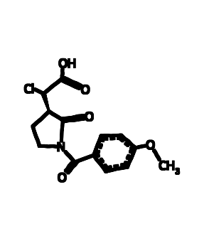 COc1ccc(C(=O)N2CC[C@@H](C(Cl)C(=O)O)C2=O)cc1